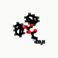 O=C(O)/C=C/C(=O)OC(OC12CC3CC(CC(C3)C1)C2)OC12CC3CC(CC(C3)C1)C2